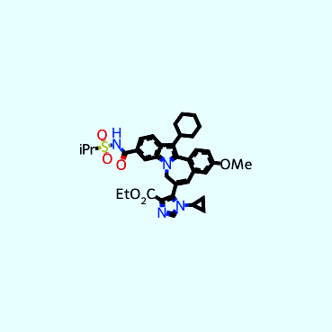 CCOC(=O)c1ncn(C2CC2)c1C1=Cc2cc(OC)ccc2-c2c(C3CCCCC3)c3ccc(C(=O)NS(=O)(=O)C(C)C)cc3n2C1